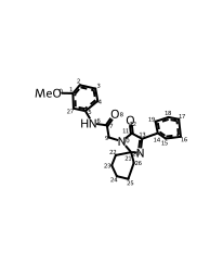 COc1cccc(NC(=O)CN2C(=O)C(c3ccccc3)=NC23CCCCC3)c1